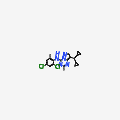 Cc1nc(Nc2c(C)cc(Cl)cc2Cl)n2ncc(C(C3CC3)C3CC3)c2n1